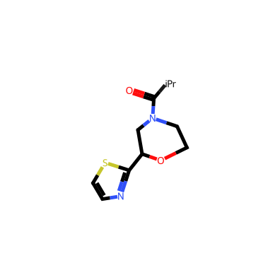 CC(C)C(=O)N1CCOC(c2nccs2)C1